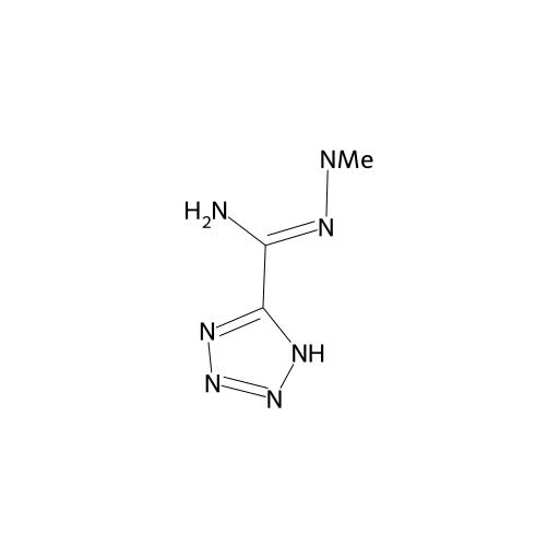 CN/N=C(\N)c1nnn[nH]1